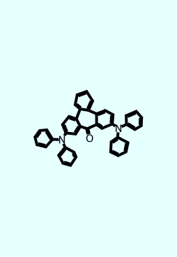 O=c1c2cc(N(c3ccccc3)c3ccccc3)ccc2c2ccccc2c2ccc(N(c3ccccc3)c3ccccc3)cc12